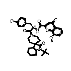 COc1cccc2c(=O)cc(C(=O)N[C@H](Cc3ccc(Cl)cc3)C(=O)N3CCC(C(=O)NC(C)(C)C)(C4CCCCC4)CC3)oc12